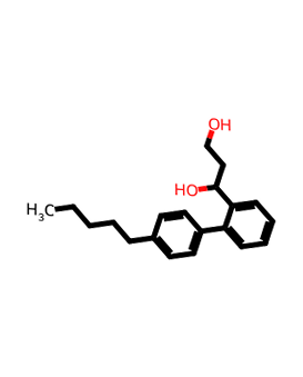 CCCCCc1ccc(-c2ccccc2C(O)CCO)cc1